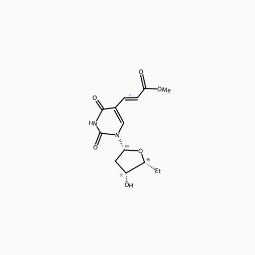 CC[C@H]1O[C@@H](n2cc(/C=C/C(=O)OC)c(=O)[nH]c2=O)C[C@H]1O